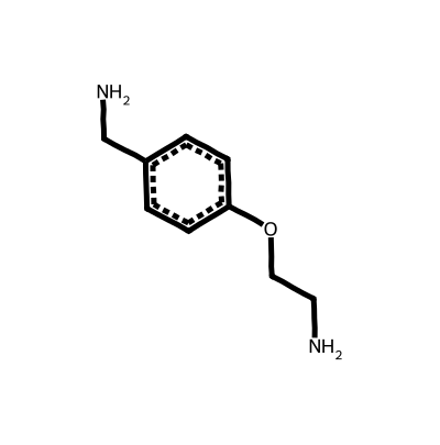 NCCOc1ccc(CN)cc1